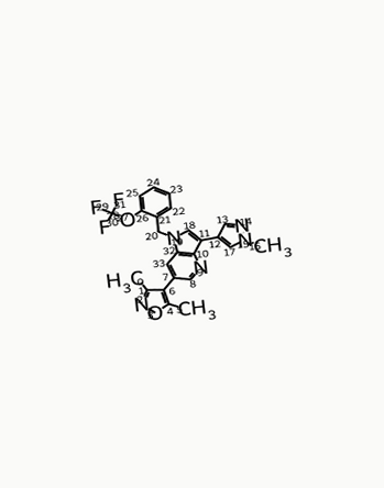 Cc1noc(C)c1-c1cnc2c(-c3cnn(C)c3)cn(Cc3ccccc3OC(F)(F)F)c2c1